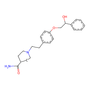 NC(=O)C1CCN(CCc2ccc(OCC(O)c3ccccc3)cc2)CC1